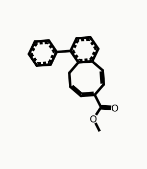 COC(=O)C1=C=CCc2c(cccc2-c2ccccc2)/C=C\1